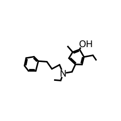 CCc1cc(CN(CC)CCCc2ccccc2)cc(C)c1O